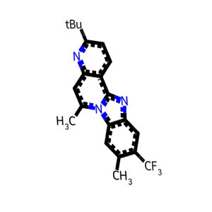 Cc1cc2c(cc1C(F)(F)F)nc1c3ccc(C(C)(C)C)nc3cc(C)n21